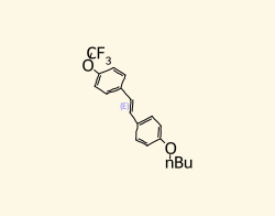 CCCCOc1ccc(/C=C/c2ccc(OC(F)(F)F)cc2)cc1